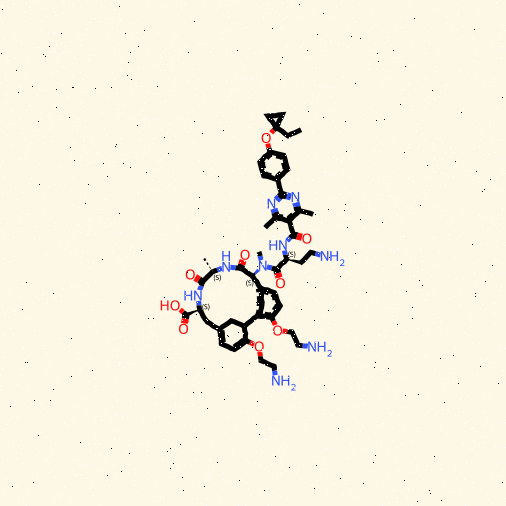 CCC1(Oc2ccc(-c3nc(C)c(C(=O)N[C@@H](CCN)C(=O)N(C)[C@@H]4C(=O)N[C@@H](C)C(=O)N[C@H](C(=O)O)CC5=CC=C(OCCN)C(C5)c5cc4ccc5OCCN)c(C)n3)cc2)CC1